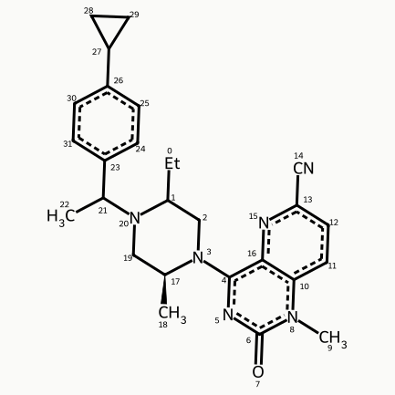 CCC1CN(c2nc(=O)n(C)c3ccc(C#N)nc23)[C@@H](C)CN1C(C)c1ccc(C2CC2)cc1